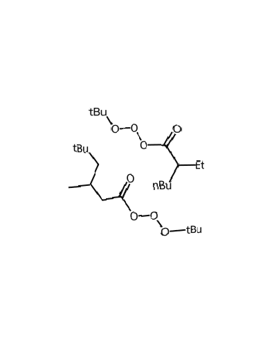 CC(CC(=O)OOOC(C)(C)C)CC(C)(C)C.CCCCC(CC)C(=O)OOOC(C)(C)C